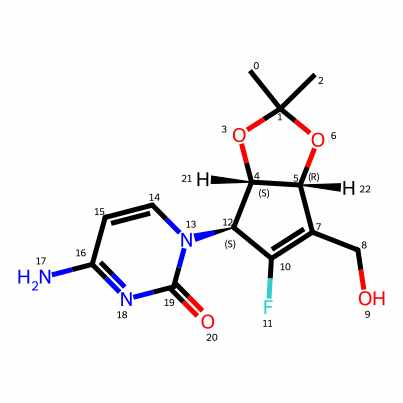 CC1(C)O[C@@H]2[C@H](O1)C(CO)=C(F)[C@H]2n1ccc(N)nc1=O